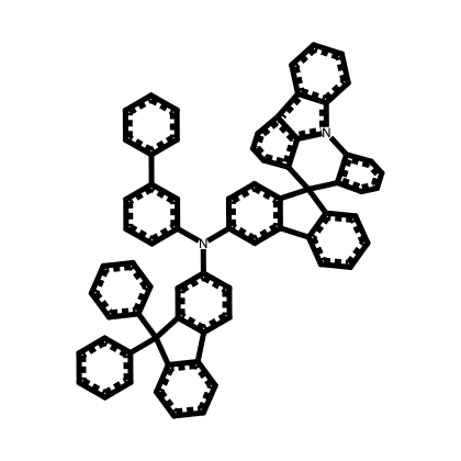 c1ccc(-c2cccc(N(c3ccc4c(c3)-c3ccccc3C43c4ccccc4-n4c5ccccc5c5cccc3c54)c3ccc4c(c3)C(c3ccccc3)(c3ccccc3)c3ccccc3-4)c2)cc1